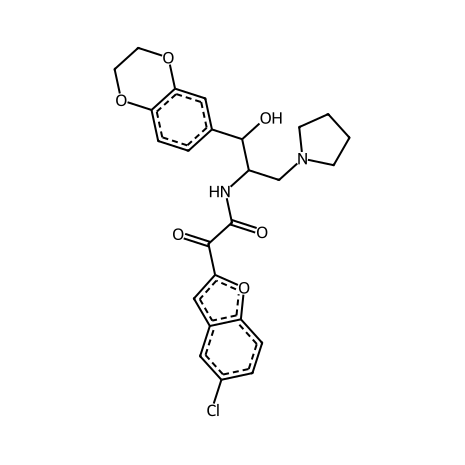 O=C(NC(CN1CCCC1)C(O)c1ccc2c(c1)OCCO2)C(=O)c1cc2cc(Cl)ccc2o1